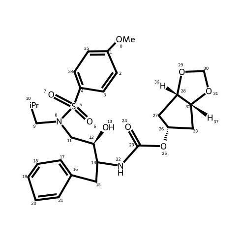 COc1ccc(S(=O)(=O)N(CC(C)C)C[C@@H](O)C(Cc2ccccc2)NC(=O)O[C@@H]2C[C@@H]3OCO[C@@H]3C2)cc1